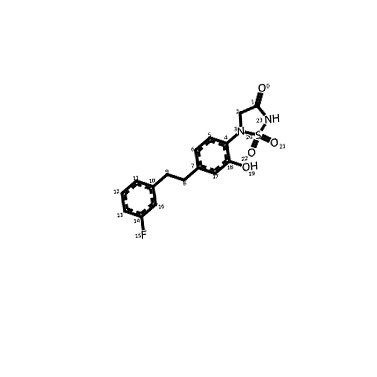 O=C1CN(c2ccc(CCc3cccc(F)c3)cc2O)S(=O)(=O)N1